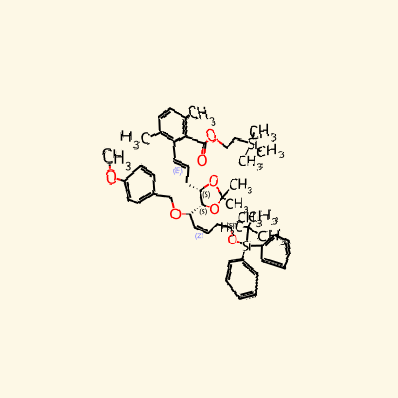 COc1ccc(COC(/C=C\C[C@H](C)O[Si](c2ccccc2)(c2ccccc2)C(C)(C)C)[C@H]2OC(C)(C)O[C@H]2C/C=C/c2c(C)ccc(C)c2C(=O)OCC[Si](C)(C)C)cc1